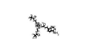 CO[C@@H](CCc1ccc2c(N)ncnn12)COP(=O)(OCCSC(=O)C(C)(C)C)OCCSC(=O)C(C)(C)C